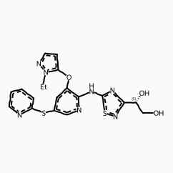 CCn1nccc1Oc1cc(Sc2ccccn2)cnc1Nc1nc([C@H](O)CO)ns1